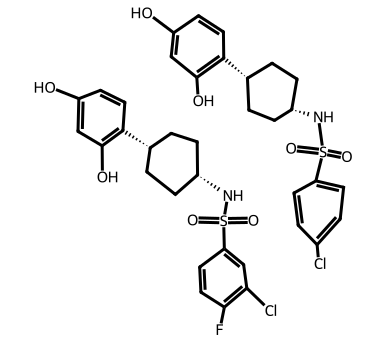 O=S(=O)(N[C@H]1CC[C@@H](c2ccc(O)cc2O)CC1)c1ccc(Cl)cc1.O=S(=O)(N[C@H]1CC[C@@H](c2ccc(O)cc2O)CC1)c1ccc(F)c(Cl)c1